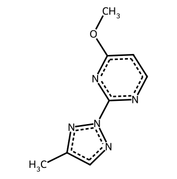 COc1ccnc(-n2ncc(C)n2)n1